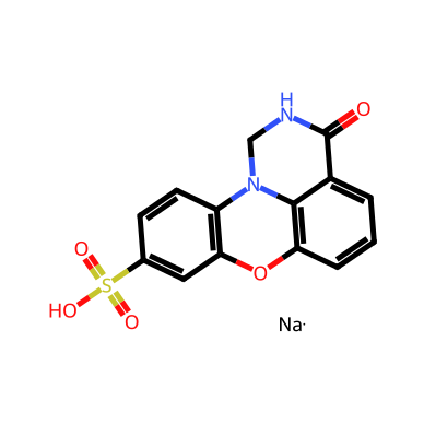 O=C1NCN2c3ccc(S(=O)(=O)O)cc3Oc3cccc1c32.[Na]